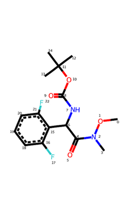 CON(C)C(=O)C(NC(=O)OC(C)(C)C)c1c(F)cccc1F